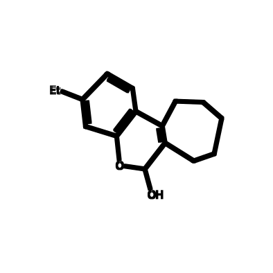 CCc1ccc2c(c1)OC(O)C1=C2CCCCC1